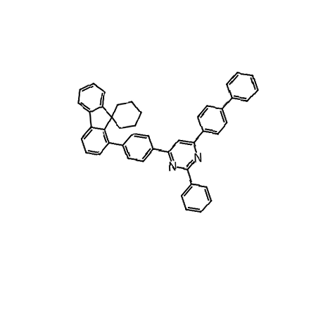 c1ccc(-c2ccc(-c3cc(-c4ccc(-c5cccc6c5C5(CCCCC5)c5ccccc5-6)cc4)nc(-c4ccccc4)n3)cc2)cc1